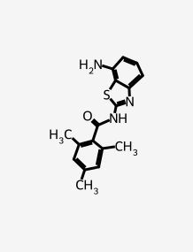 Cc1cc(C)c(C(=O)Nc2nc3cccc(N)c3s2)c(C)c1